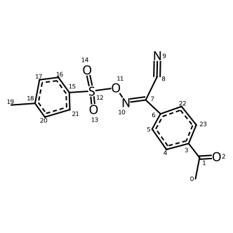 CC(=O)c1ccc(/C(C#N)=N/OS(=O)(=O)c2ccc(C)cc2)cc1